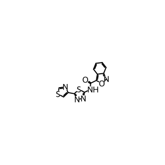 O=C(Nc1nnc(-c2cscn2)s1)c1onc2ccccc12